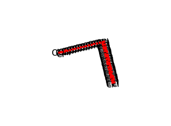 ClCCl.ClCCl.ClCCl.ClCCl.ClCCl.ClCCl.ClCCl.ClCCl.ClCCl.ClCCl.ClCCl.ClCCl.ClCCl.ClCCl.ClCCl.ClCCl.ClCCl.ClCCl.ClCCl.ClCCl.ClCCl.ClCCl.ClCCl.ClCCl.ClCCl.ClCCl.ClCCl.ClCCl.ClCCl.ClCCl.ClCCl.ClCCl.ClCCl.ClCCl.ClCCl.ClCCl.ClCCl.ClCCl.ClCCl.ClCCl.ClCCl.ClCCl.ClCCl.ClCCl.ClCCl.ClCCl.ClCCl.ClCCl.OCC(Cl)Cl